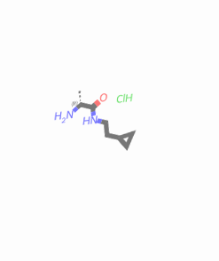 C[C@@H](N)C(=O)NCCC1CC1.Cl